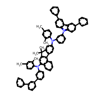 Cc1ccc(N(c2cccc(-n3c4ccc(-c5ccccc5)cc4c4cc(-c5ccccc5)ccc43)c2)c2ccc3c(c2)C(C)(C)c2cc(N(c4cccc(-c5cccc(-c6ccccc6)c5)c4)c4ccc(C)cc4C)c4ccccc4c2-3)c(C)c1